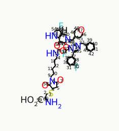 N[C@@H](CSC1CC(=O)N(CCCCCCNC(=O)O[C@@H]2C(=O)N([C@@H](c3nc(-c4cc(F)ccc4F)cn3Cc3ccccc3)C3CCOCC3)C[C@@H]3C2NC[C@@H]3F)C1=O)C(=O)O